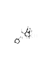 Cc1nc(OCc2ccccc2)c(CI)c2cnoc12